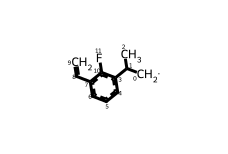 [CH2]C(C)c1cccc(C=C)c1F